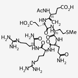 C=C(N[C@@H](CCC(=O)O)C(=O)N[C@@H](CCSC)C(=O)N[C@@H](CCC(N)=O)C(=O)N[C@@H](CCCN=C(N)N)C(=O)N[C@@H](CCCN=C(N)N)C(N)=O)[C@H](CCC(=O)O)NC(C)=O